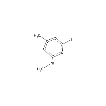 CNc1cc(C)cc(I)n1